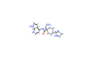 NCC1(C(=O)Nc2ccnc3[nH]ccc23)CCC(C2=NCCN2)CC1